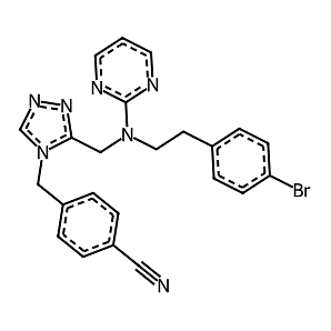 N#Cc1ccc(Cn2cnnc2CN(CCc2ccc(Br)cc2)c2ncccn2)cc1